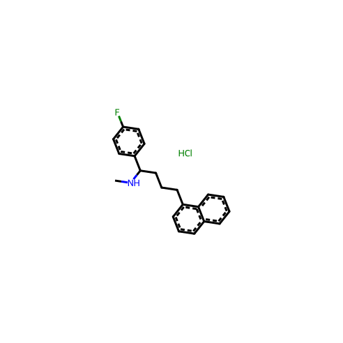 CNC(CCCc1cccc2ccccc12)c1ccc(F)cc1.Cl